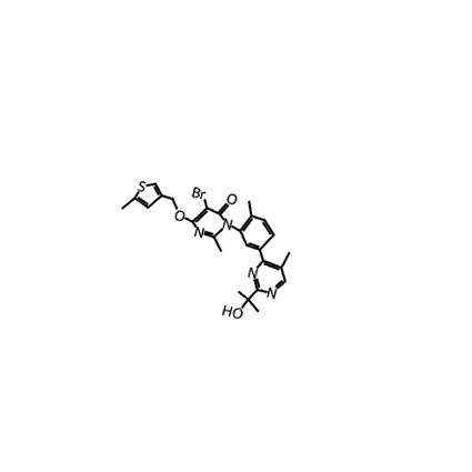 Cc1cc(COc2nc(C)n(-c3cc(-c4nc(C(C)(C)O)ncc4C)ccc3C)c(=O)c2Br)cs1